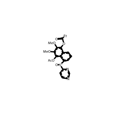 CCC(=O)Oc1c(OC)c(OC)c(OC(C)=O)c2c([S+]([O-])c3ccncn3)cccc12